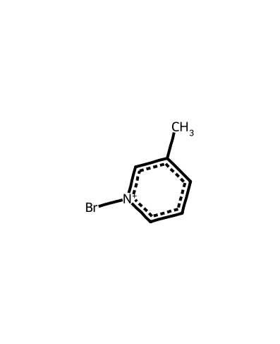 Cc1ccc[n+](Br)c1